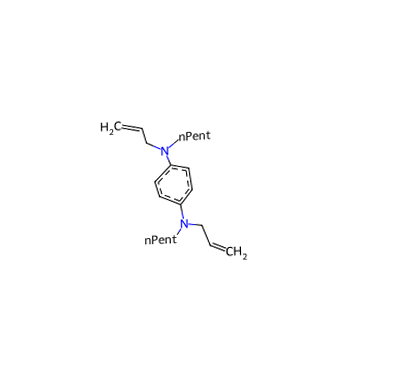 C=CCN(CCCCC)c1ccc(N(CC=C)CCCCC)cc1